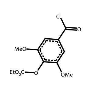 CCOC(=O)Oc1c(OC)cc(C(=O)Cl)cc1OC